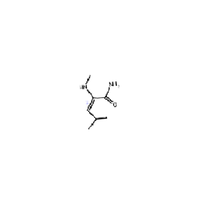 CN/C(=C/C(C)C)C(N)=O